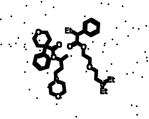 CC(CCN1CCOCC1)OC(=O)C1(c2ccccc2)CCOCC1.CCC(C(=O)OCCOCCN(CC)CC)c1ccccc1